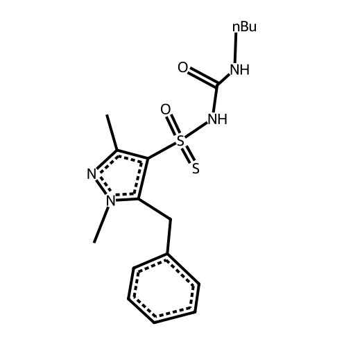 CCCCNC(=O)NS(=O)(=S)c1c(C)nn(C)c1Cc1ccccc1